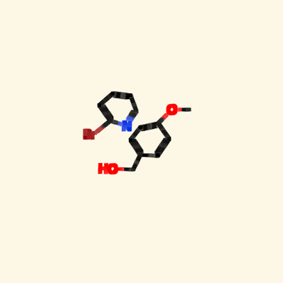 Brc1ccccn1.COc1ccc(CO)cc1